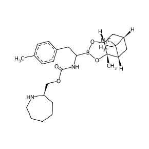 Cc1ccc(CC(NC(=O)OC[C@H]2CCCCCN2)B2O[C@@H]3C[C@@H]4C[C@@H](C4(C)C)[C@]3(C)O2)cc1